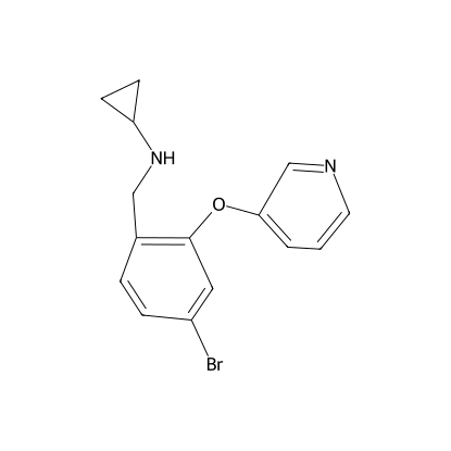 Brc1ccc(CNC2CC2)c(Oc2cccnc2)c1